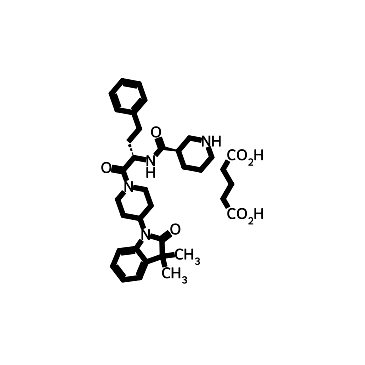 CC1(C)C(=O)N(C2CCN(C(=O)[C@H](CCc3ccccc3)NC(=O)[C@@H]3CCCNC3)CC2)c2ccccc21.O=C(O)CCCC(=O)O